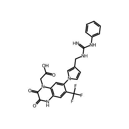 N=C(NCc1ccn(-c2cc3c(cc2C(F)(F)F)[nH]c(=O)c(=O)n3CC(=O)O)c1)Nc1ccccc1